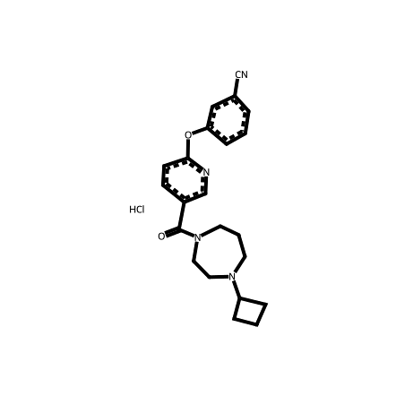 Cl.N#Cc1cccc(Oc2ccc(C(=O)N3CCCN(C4CCC4)CC3)cn2)c1